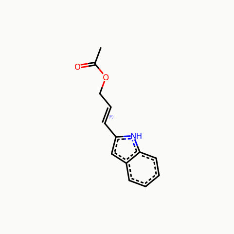 CC(=O)OC/C=C/c1cc2ccccc2[nH]1